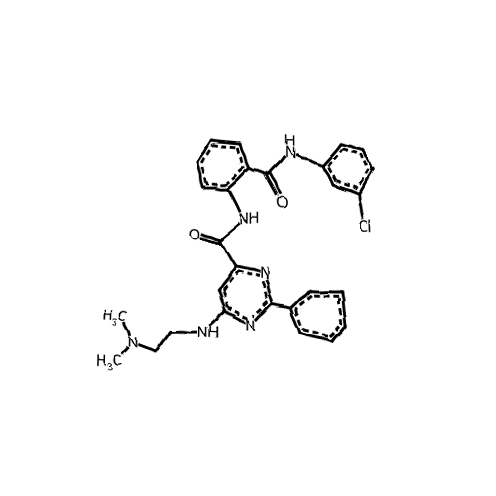 CN(C)CCNc1cc(C(=O)Nc2ccccc2C(=O)Nc2cccc(Cl)c2)nc(-c2ccccc2)n1